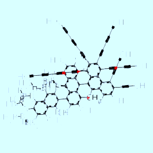 BBB(B)B(B(B)B)c1c(B(B(B)B)B(B)B)c(C)c(C)c2c(C)c(-c3c(C)c(C)c(C)c4c(-c5c(C)c6c(C)c(C)c(C#CC)c(C#CC#C)c6c6c(C#CC#CC)c(C#CC#CC#C)c(C#CC#CC#CC)c(C#CC#CC#CC#C)c56)c5c(C)c(C)c(C)c(C)c5c(C)c34)c(BB)c(B)c12